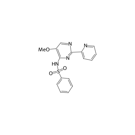 COc1cnc(-c2ccccn2)nc1NS(=O)(=O)c1ccccc1